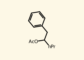 CCCC(Cc1ccccc1)OC(C)=O